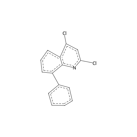 Clc1cc(Cl)c2cccc(-c3ccccc3)c2n1